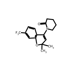 CC1(C)C=C(N2CCCCC2=O)c2ccc(C(F)(F)F)cc2O1